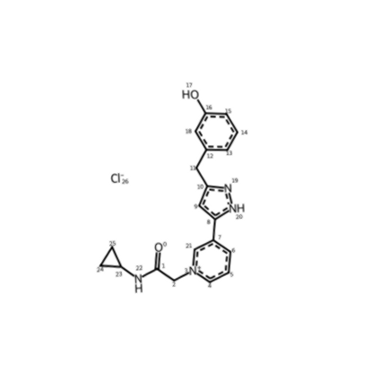 O=C(C[n+]1cccc(-c2cc(Cc3cccc(O)c3)n[nH]2)c1)NC1CC1.[Cl-]